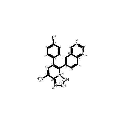 NC1=NC(c2ccc(F)cc2)=C(c2ccc3ncncc3c2)N2NNN=C12